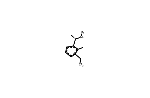 Cc1c(CC(F)(F)F)cccc1[C@@H](C)NC(C)C